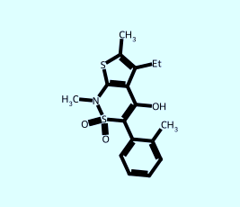 CCc1c(C)sc2c1C(O)=C(c1ccccc1C)S(=O)(=O)N2C